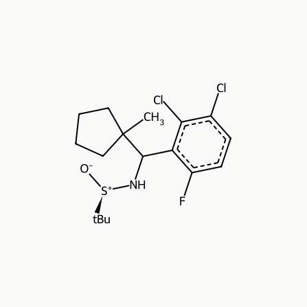 CC1(C(N[S@+]([O-])C(C)(C)C)c2c(F)ccc(Cl)c2Cl)CCCC1